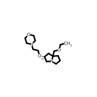 CCOCC12CCCN1C[C@H](OCCN1CCOCC1)C2